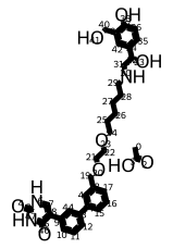 CC(=O)O.O=c1[nH]cc(-c2cccc(-c3cccc(COCCOCCCCCCNC[C@H](O)c4ccc(O)c(CO)c4)c3)c2)c(=O)[nH]1